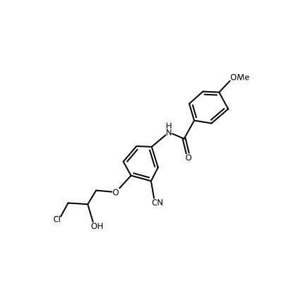 COc1ccc(C(=O)Nc2ccc(OCC(O)CCl)c(C#N)c2)cc1